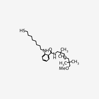 COCC(C)(C)COCC(C)(C)CNC(=O)c1ccccc1NCCCCCCCCS